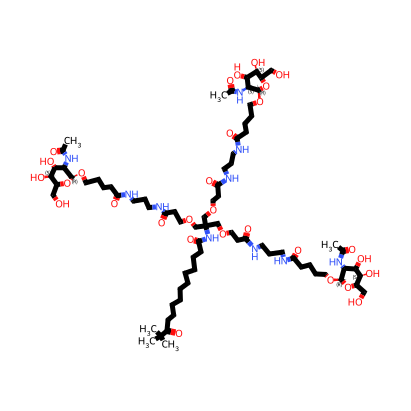 CC(=O)NC1C(O)[C@H](O)C(CO)O[C@H]1OCCCCC(=O)NCCCNC(=O)CCOCC(COCCC(=O)NCCCNC(=O)CCCCO[C@@H]1OC(CO)[C@@H](O)C(O)C1NC(C)=O)(COCCC(=O)NCCCNC(=O)CCCCO[C@@H]1OC(CO)[C@@H](O)C(O)[C@@H]1NC(C)=O)NC(=O)CCCCCCCCCCC(=O)C(C)(C)C